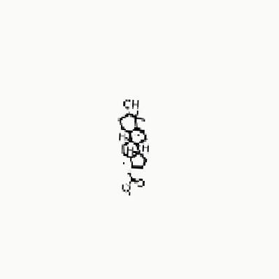 COC(=O)C[C@H]1CC[C@H]2[C@@H]3CC=C4C(C)(C)[C@@H](O)CC[C@]4(C)[C@H]3CC[C@]12C